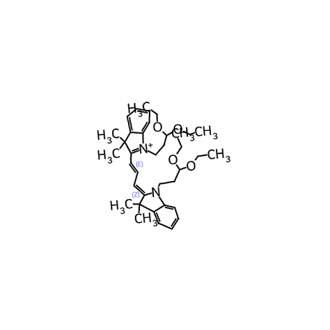 CCOC(CCN1/C(=C\C=C\C2=[N+](CCC(OCC)OCC)c3ccccc3C2(C)C)C(C)(C)c2ccccc21)OCC